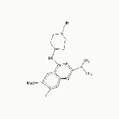 COc1cc2c(NC3CCN(C(C)C)CC3)nc(N(C)C)nc2cc1I